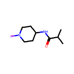 CC(C)C(=O)NC1CCN(I)CC1